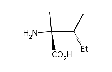 CC[C@@H](C)[C@@](C)(N)C(=O)O